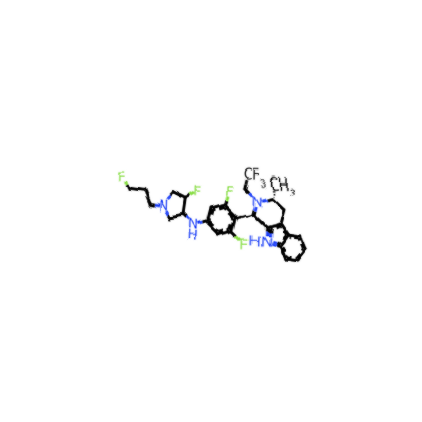 C[C@@H]1Cc2c([nH]c3ccccc23)[C@@H](c2c(F)cc(NC3CN(CCCF)CC3F)cc2F)N1CC(F)(F)F